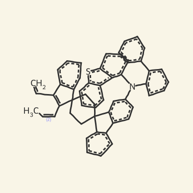 C=CC1=C(/C=C\C)C2(CCC3(CC2)c2ccccc2-c2ccc(N(c4ccccc4-c4ccccc4)c4cccc5sc6ccccc6c45)cc23)c2ccccc21